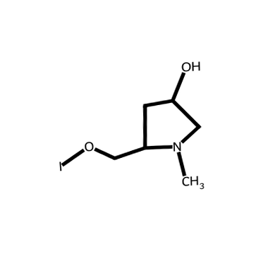 CN1CC(O)CC1COI